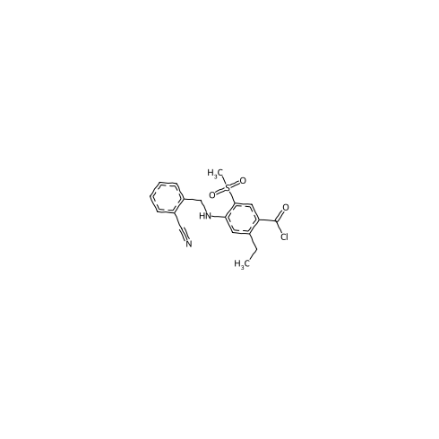 CCc1cc(NCc2ccccc2C#N)c(S(C)(=O)=O)cc1C(=O)Cl